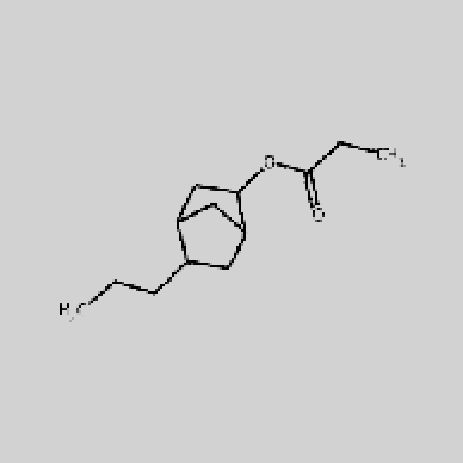 CCCC1CC2CC1CC2OC(=O)CC